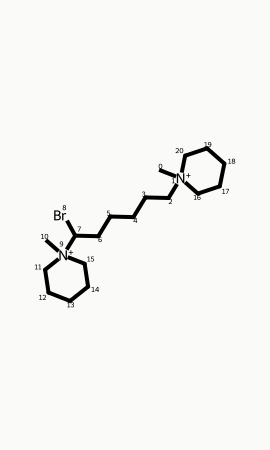 C[N+]1(CCCCCC(Br)[N+]2(C)CCCCC2)CCCCC1